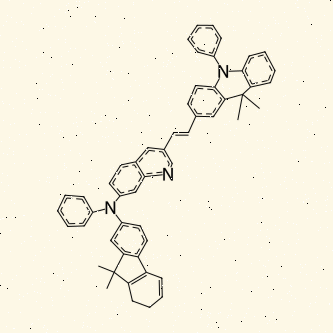 CC1(C)C2=C(C=CCC2)c2ccc(N(c3ccccc3)c3ccc4cc(/C=C/c5ccc6c(c5)C(C)(C)c5ccccc5N6c5ccccc5)cnc4c3)cc21